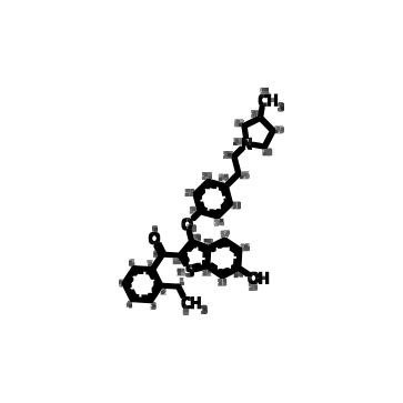 CCc1ccccc1C(=O)c1sc2cc(O)ccc2c1Oc1ccc(CCN2CCC(C)C2)cc1